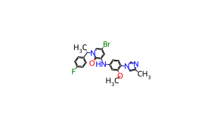 COc1cc(Nc2cc(Br)cn([C@@H](C)c3ccc(F)cc3)c2=O)ccc1-n1cnc(C)c1